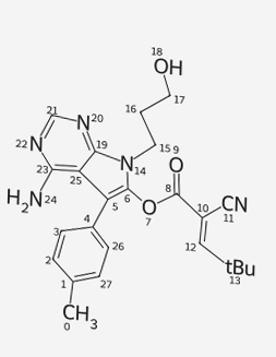 Cc1ccc(-c2c(OC(=O)C(C#N)=CC(C)(C)C)n(CCCO)c3ncnc(N)c23)cc1